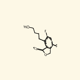 O=C1OCc2c(F)cc(F)c(CCCCO)c21